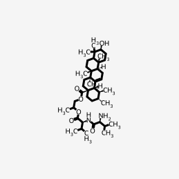 CC(COC(=O)[C@]12CC[C@@H](C)[C@H](C)[C@H]1C1=CC[C@@H]3[C@@]4(C)CC[C@H](O)C(C)(C)C4CC[C@@]3(C)[C@]1(C)CC2)OC(=O)[C@@H](NC(=O)[C@@H](N)C(C)C)C(C)C